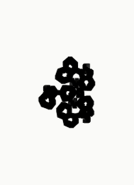 C1=CC2=CC=CC3C2C(=C1)c1scc2ccc4c(c12)N3c1cc(-c2csc3ccccc23)cc2c1B4C1=C3C4C(=CSC4c4cccc5cccc(c45)N32)C=C1